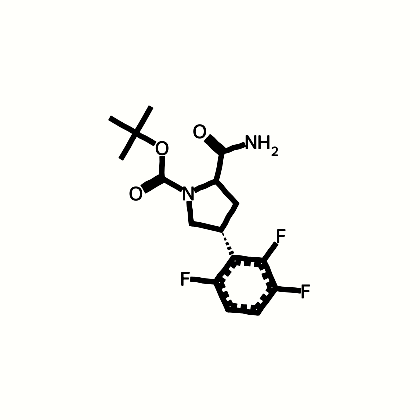 CC(C)(C)OC(=O)N1C[C@@H](c2c(F)ccc(F)c2F)CC1C(N)=O